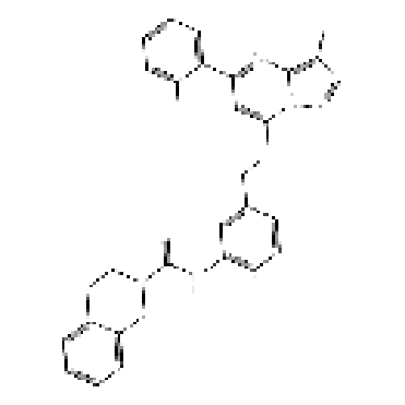 O=C(Nc1cccc(CNc2cc(-c3ccccc3Cl)nc3c(Br)cnn23)c1)C1CCc2ccccc2C1